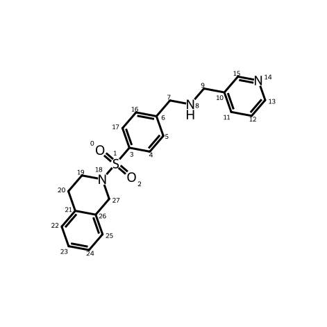 O=S(=O)(c1ccc(CNCc2cccnc2)cc1)N1CCc2ccccc2C1